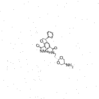 CNC(=O)c1cc(C(=O)NCC[C@H]2OC[C@H](N)CO2)cc2c1OC[C@H]2c1ccccc1